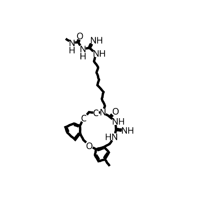 CNC(=O)NC(=N)NCCCCCCCCN1CCCc2ccccc2COc2ccc(C)cc2CNC(=N)NC1=O